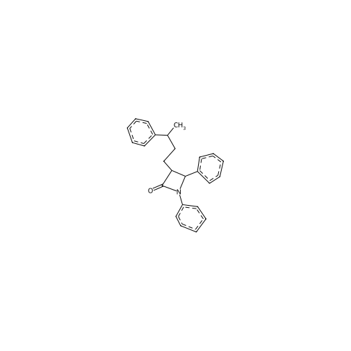 CC(CCC1C(=O)N(c2ccccc2)C1c1ccccc1)c1ccccc1